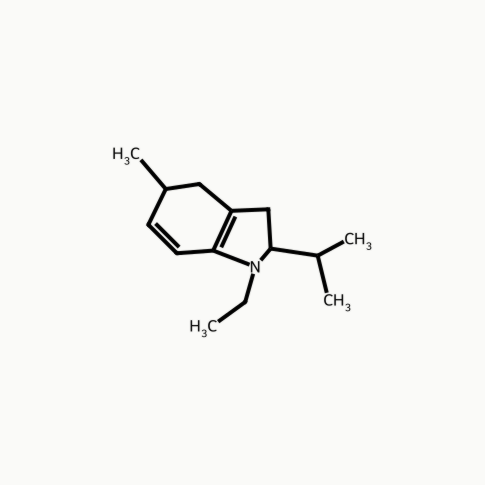 CCN1C2=C(CC(C)C=C2)CC1C(C)C